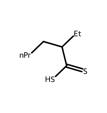 CCCCC(CC)C(=S)S